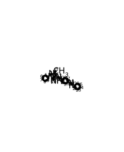 CC1=NN(c2ccccc2)C(=N)/C1=N\Nc1ccc(/N=N/C2=CC=CCC2)cc1